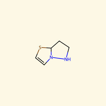 C1=CN2NCCC2S1